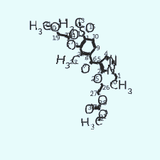 CCn1ncc(C(=O)c2ccc(S(C)(=O)=O)c(OCCOC)c2C)c1OCCOC(=O)OC